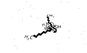 CCCCCCC[C@H](N)CC(=O)N1CCC[C@]1(C(=O)O)C(=O)C[C@@H](N)CCCCC